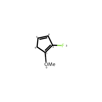 COC1=C(F)C=CC1